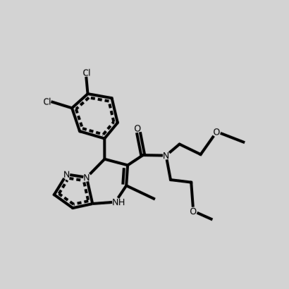 COCCN(CCOC)C(=O)C1=C(C)Nc2ccnn2C1c1ccc(Cl)c(Cl)c1